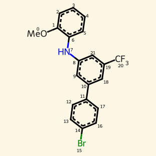 COc1ccccc1Nc1cc(-c2ccc(Br)cc2)cc(C(F)(F)F)c1